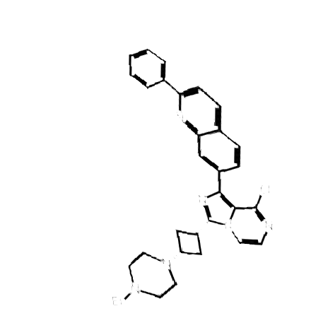 CCN1CCN([C@H]2C[C@@H](c3nc(-c4ccc5ccc(-c6ccccc6)nc5c4)c4c(Cl)nccn43)C2)CC1